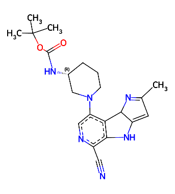 CC1=NC2C(=C1)Nc1c(C#N)ncc(N3CCC[C@@H](NC(=O)OC(C)(C)C)C3)c12